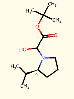 CC(C)[C@@H]1CCCN1C(O)C(=O)OC(C)(C)C